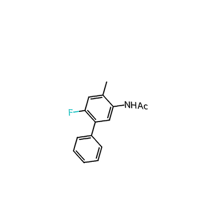 CC(=O)Nc1cc(-c2ccccc2)c(F)cc1C